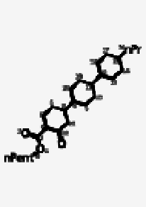 CCCCCOC(=O)C1CCC(C2CCC(C3CCC(CCC)CC3)CC2)CC1=O